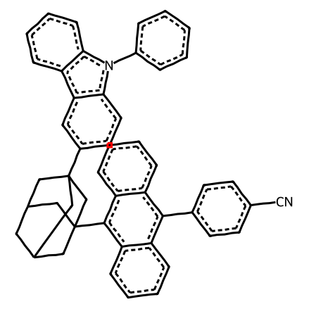 N#Cc1ccc(-c2c3ccccc3c(C34CC5CC(CC(c6ccc7c(c6)c6ccccc6n7-c6ccccc6)(C5)C3)C4)c3ccccc23)cc1